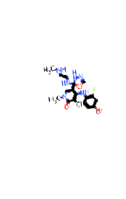 CNCCNC1(c2cn(C)c(=O)c(C)c2Nc2ccc(Br)cc2F)NN=CO1